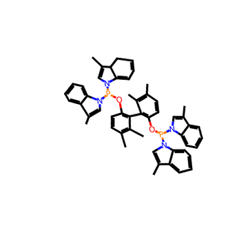 CC1=CN(P(Oc2ccc(C)c(C)c2-c2c(OP(n3cc(C)c4ccccc43)n3cc(C)c4ccccc43)ccc(C)c2C)n2cc(C)c3ccccc32)C2=CC=CCC12